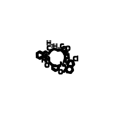 CO[C@@]1(C=O)/C=C/C[C@H](C)[C@H](Cc2ccccc2)S(=O)(=O)NC(=O)c2ccc3c(c2)N(C[C@@H]2CC[C@H]21)C[C@@]1(CCCc2cc(Cl)ccc21)CO3